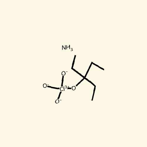 CCC(CC)(CC)O[Cl+3]([O-])([O-])[O-].N